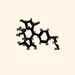 CC1=CC(C)=[N+]2C1=C(c1ccc(N=C=S)cc1)c1c(C)cc(C)n1[B-]2(F)F